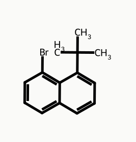 CC(C)(C)c1cccc2cccc(Br)c12